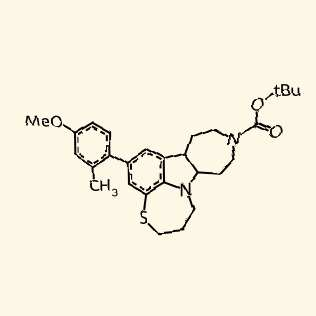 COc1ccc(-c2cc3c4c(c2)C2CCN(C(=O)OC(C)(C)C)CCC2N4CCCS3)c(C)c1